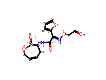 O=CCO/N=C(/C(=O)NC1CC=CCOB1O)c1cccs1